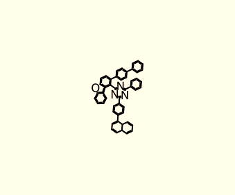 C1=CC2C=CC=C(c3ccc(-c4nc(-c5ccccc5)nc(-c5c(-c6ccc(-c7ccccc7)cc6)ccc6oc7ccccc7c56)n4)cc3)C2C=C1